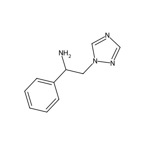 NC(Cn1cncn1)c1ccccc1